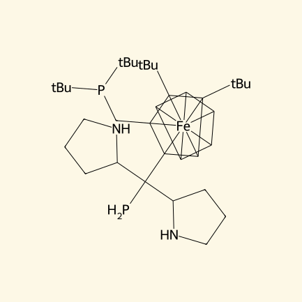 CC(C)(C)P(C[C]12[C]3(C(P)(C4CCCN4)C4CCCN4)[CH]4[C]5(C(C)(C)C)[C]1(C(C)(C)C)[Fe]42351678[CH]2[CH]1[CH]6[CH]7[CH]28)C(C)(C)C